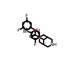 O=C(Nc1cc(F)cc(F)c1)N1CC2CNCC(C1)C2c1ccc(Br)cc1F